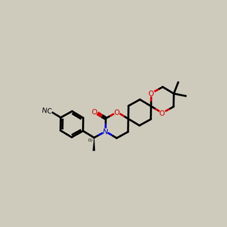 C[C@@H](c1ccc(C#N)cc1)N1CCC2(CCC3(CC2)OCC(C)(C)CO3)OC1=O